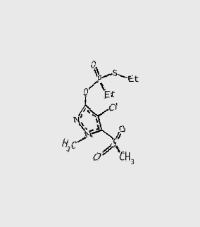 CCSP(=O)(CC)Oc1nn(C)c(S(C)(=O)=O)c1Cl